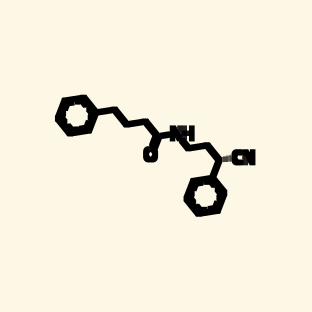 N#C[C@@H](CCNC(=O)CCCc1ccccc1)c1ccccc1